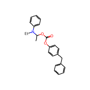 CCN(c1ccccc1)C(C)OC(=O)Oc1ccc(Cc2ccccc2)cc1